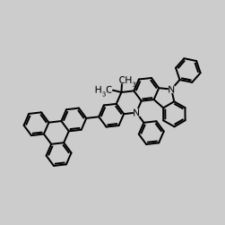 CC1(C)c2cc(-c3ccc4c5ccccc5c5ccccc5c4c3)ccc2N(c2ccccc2)c2c1ccc1c2c2ccccc2n1-c1ccccc1